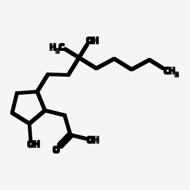 CCCCCC(C)(O)CCC1CCC(O)C1CC(=O)O